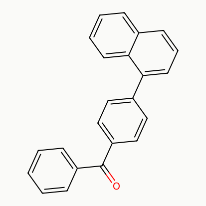 O=C(c1ccccc1)c1ccc(-c2cccc3ccccc23)cc1